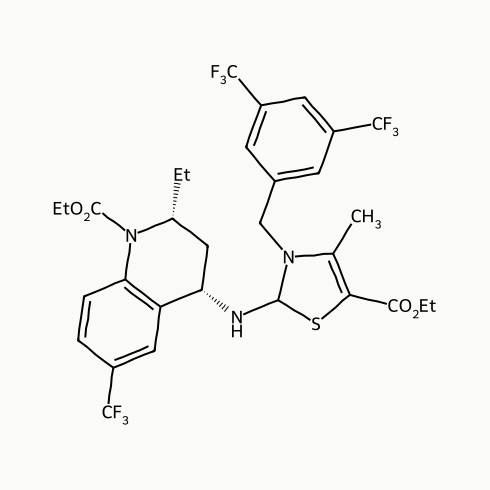 CCOC(=O)C1=C(C)N(Cc2cc(C(F)(F)F)cc(C(F)(F)F)c2)C(N[C@H]2C[C@@H](CC)N(C(=O)OCC)c3ccc(C(F)(F)F)cc32)S1